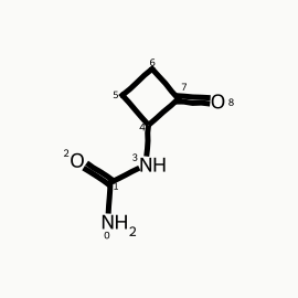 NC(=O)NC1CCC1=O